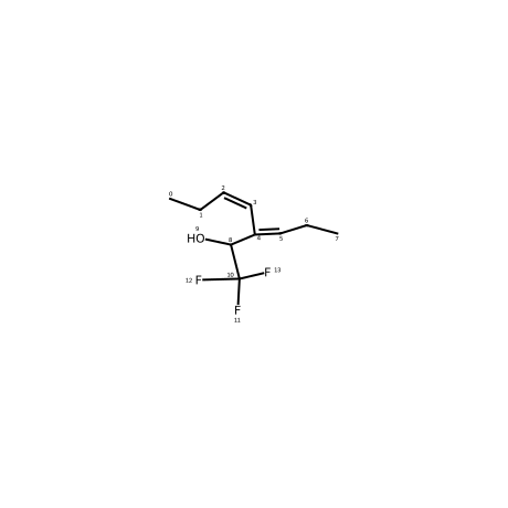 CC/C=C\C(=C/CC)C(O)C(F)(F)F